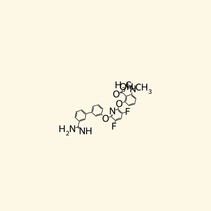 CN(C)c1cccc(Oc2nc(Oc3cccc(-c4cccc(C(=N)N)c4)c3)c(F)cc2F)c1C(=O)O